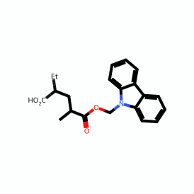 CCC(CC(C)C(=O)OCn1c2ccccc2c2ccccc21)C(=O)O